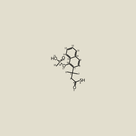 CC(C)(CC(=O)S)c1ccc2ccccc2c1OP(C)(=O)O